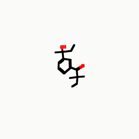 CCC(C)(C)C(=O)c1cccc(C(C)(O)CC)c1